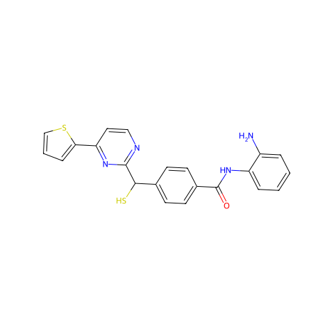 Nc1ccccc1NC(=O)c1ccc(C(S)c2nccc(-c3cccs3)n2)cc1